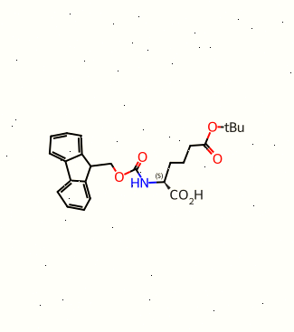 CC(C)(C)OC(=O)CCC[C@H](NC(=O)OCC1c2ccccc2-c2ccccc21)C(=O)O